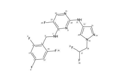 Fc1cc(F)c(CNc2nc(Nc3cnn(CC(F)F)c3)ncc2F)c(F)c1